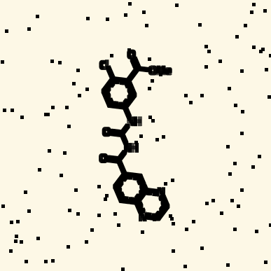 COC(=O)c1cc(NC(=O)NC(=O)c2ccc3nccnc3c2)ccc1Cl